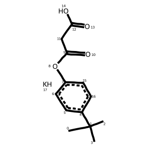 CC(C)(C)c1ccc(OC(=O)CC(=O)O)cc1.[KH]